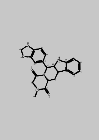 CN1CC(=O)N2C(CC3c4ccccc4NC3C2c2ccc3c(c2)OCO3)C1=O